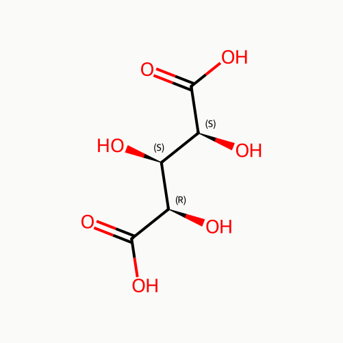 O=C(O)[C@@H](O)[C@H](O)[C@@H](O)C(=O)O